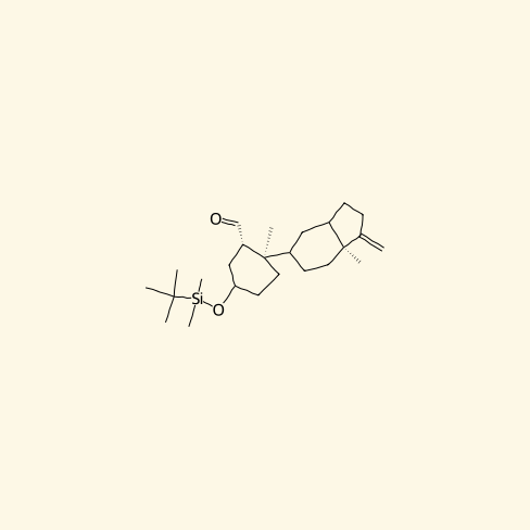 C=C1CCC2CC([C@@]3(C)CCC(O[Si](C)(C)C(C)(C)C)C[C@@H]3C=O)CC[C@]12C